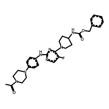 CC(=O)N1CCN(c2ccc(Nc3ncc(F)c(N4CCC(NC(=O)OCc5ccccc5)CC4)n3)cc2)CC1